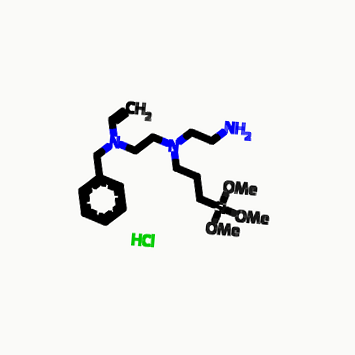 C=CN(CCN(CCN)CCC[Si](OC)(OC)OC)Cc1ccccc1.Cl